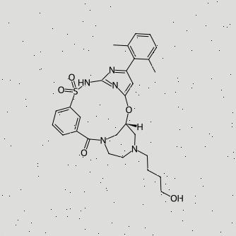 Cc1cccc(C)c1-c1cc2nc(n1)NS(=O)(=O)c1cccc(c1)C(=O)N1CCN(CCCCO)C[C@H](C1)O2